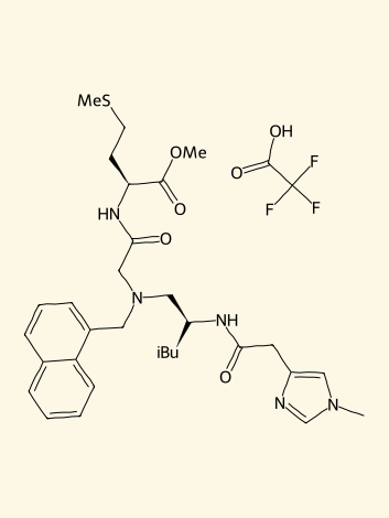 CC[C@H](C)[C@@H](CN(CC(=O)N[C@@H](CCSC)C(=O)OC)Cc1cccc2ccccc12)NC(=O)Cc1cn(C)cn1.O=C(O)C(F)(F)F